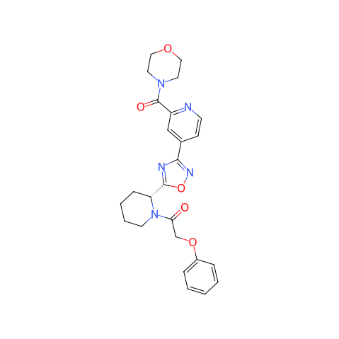 O=C(c1cc(-c2noc([C@H]3CCCCN3C(=O)COc3ccccc3)n2)ccn1)N1CCOCC1